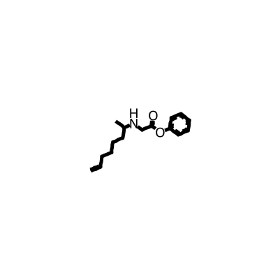 C=CCCCCC(C)NCC(=O)Oc1ccccc1